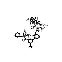 C=C(C)c1cc(C(=O)N[C@@H](Cc2ccccc2)CN(C)C)cc(-c2cccc(CN3O[C@@H](CO)[C@@H]([C@H](C)O)[C@H]3C(=O)N[C@H]3C[C@H]4C[C@@H]([C@@H]3C)C4(C)C)c2OC)c1